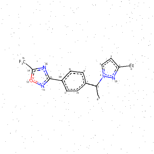 CCc1ccn(C(C)c2ccc(-c3noc(C(F)(F)F)n3)cc2)n1